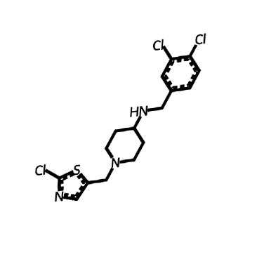 Clc1ncc(CN2CCC(NCc3ccc(Cl)c(Cl)c3)CC2)s1